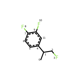 C[C](CF)c1ccc(F)c(F)c1